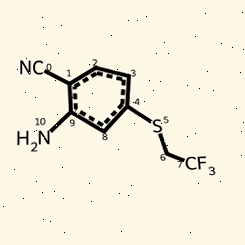 N#Cc1ccc(SCC(F)(F)F)cc1N